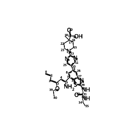 C=C/C=C(\C=C(/N)c1cc(-c2cnc(N3CCC(C)(C(=O)O)CC3)nc2)cc2nc(NC(=O)NCC)sc12)OCC